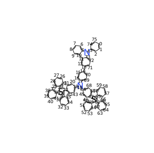 c1ccc(-n2c3ccccc3c3cc(-c4ccc(N(c5ccc([Si](c6ccccc6)(c6ccccc6)c6ccccc6)cc5)c5ccc([Si](c6ccccc6)(c6ccccc6)c6ccccc6)cc5)cc4)ccc32)cc1